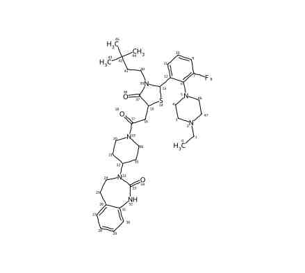 CCN1CCN(c2c(F)cccc2C2SC(CC(=O)N3CCC(N4CCc5ccccc5NC4=O)CC3)C(=O)N2CCC(C)(C)C)CC1